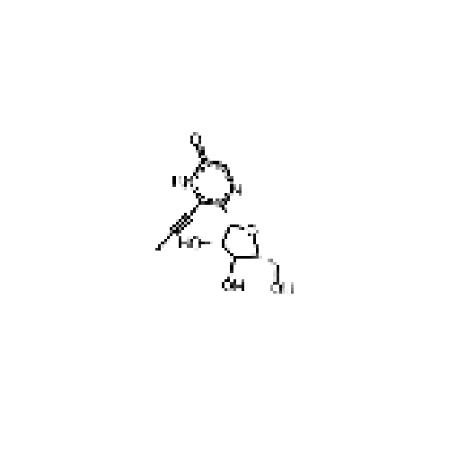 CC#Cc1[nH]c(=O)cnc1[C@@H]1O[C@H](CO)C(O)[C@@H]1O